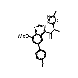 COc1cc(-c2ccc(F)cc2)cc2c(NC(C)c3nnc(C)o3)ncnc12